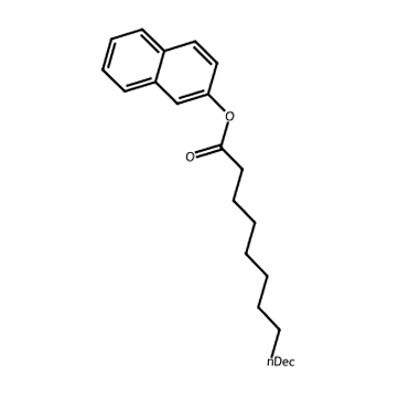 CCCCCCCCCCCCCCCCCC(=O)Oc1ccc2ccccc2c1